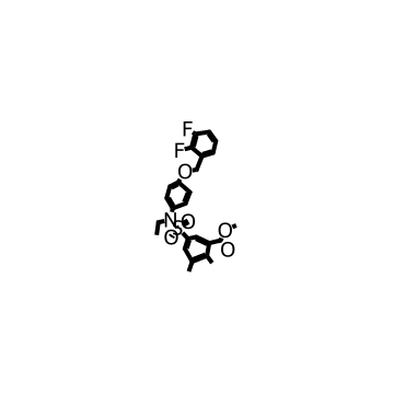 CCN(c1ccc(OCc2cccc(F)c2F)cc1)S(=O)(=O)c1cc(C)c(C)c(C(=O)OC)c1